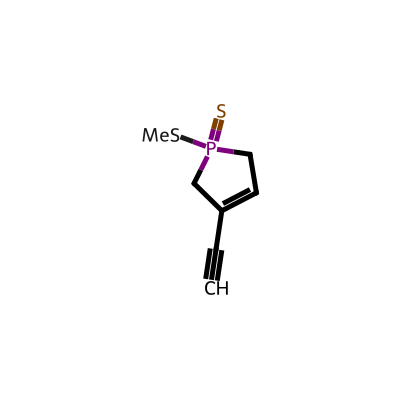 C#CC1=CCP(=S)(SC)C1